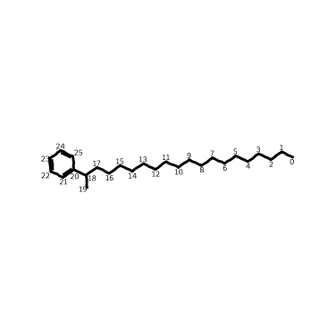 CCCCCCCCCCCCCCCCCCC(C)c1ccccc1